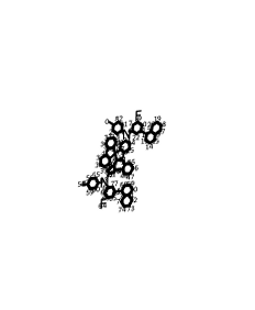 Cc1ccc(N(c2cc(F)cc(-c3cccc4ccccc34)c2)c2ccc3c(c2)C2(c4ccccc4-c4ccccc42)c2c-3c3ccccc3c3cc(N(c4ccc(C)cc4)c4cc(F)cc(-c5cccc6ccccc56)c4)ccc23)cc1